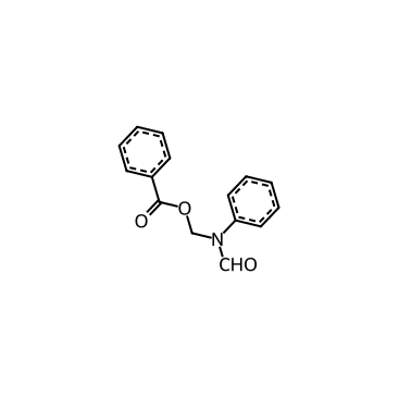 O=CN(COC(=O)c1ccccc1)c1ccccc1